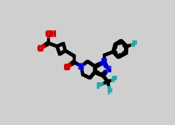 O=C(O)C1CC(CC(=O)N2CCc3c(C(F)(F)F)nn(Cc4ccc(F)cc4)c3C2)C1